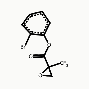 O=C(Oc1ccccc1Br)C1(C(F)(F)F)CO1